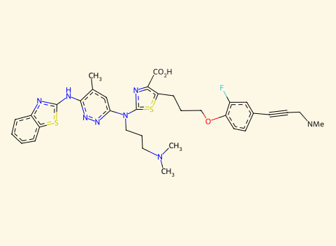 CNCC#Cc1ccc(OCCCc2sc(N(CCCN(C)C)c3cc(C)c(Nc4nc5ccccc5s4)nn3)nc2C(=O)O)c(F)c1